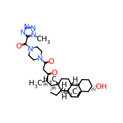 C[C@@H](C(=O)CC(=O)N1CCN(C(=O)c2nnnn2C)CC1)[C@H]1CC[C@H]2[C@@H]3CC=C4C[C@@H](O)CC[C@]4(C)[C@H]3CC[C@@]12C